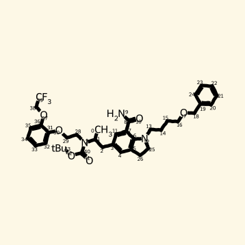 CC(Cc1cc2c(c(C(N)=O)c1)N(CCCCOCc1ccccc1)CC2)N(CCOc1ccccc1OCC(F)(F)F)C(=O)OC(C)(C)C